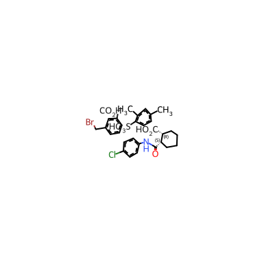 Cc1ccc(S(=O)(=O)O)c(C)c1.O=C(Nc1ccc(Cl)cc1)[C@H]1CCCC[C@H]1C(=O)O.O=C(O)c1cccc(CBr)c1